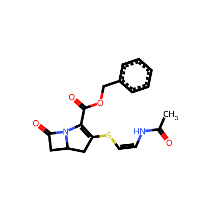 CC(=O)N/C=C\SC1=C(C(=O)OCc2ccccc2)N2C(=O)CC2C1